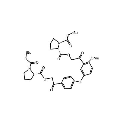 COc1ccc(Oc2ccc(C(=O)COC(=O)[C@@H]3CCCN3C(=O)OC(C)(C)C)cc2)cc1C(=O)COC(=O)[C@@H]1CCCN1C(=O)OC(C)(C)C